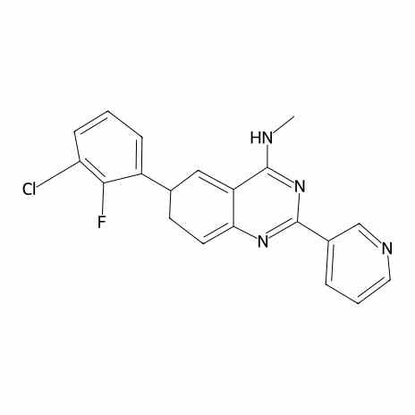 CNc1nc(-c2cccnc2)nc2c1=CC(c1cccc(Cl)c1F)CC=2